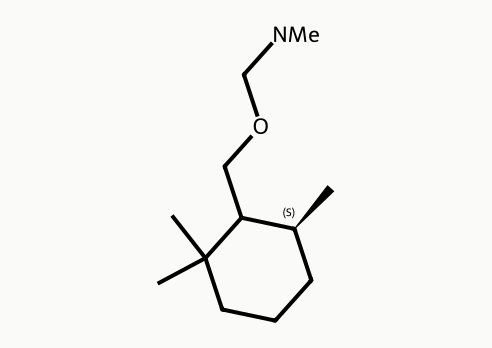 CNCOCC1[C@@H](C)CCCC1(C)C